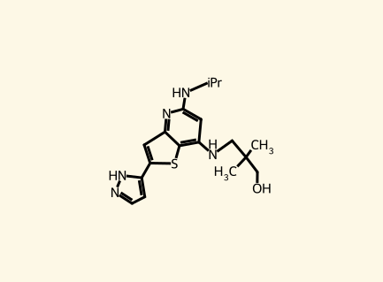 CC(C)Nc1cc(NCC(C)(C)CO)c2sc(-c3ccn[nH]3)cc2n1